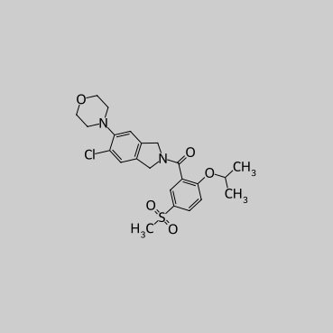 CC(C)Oc1ccc(S(C)(=O)=O)cc1C(=O)N1Cc2cc(Cl)c(N3CCOCC3)cc2C1